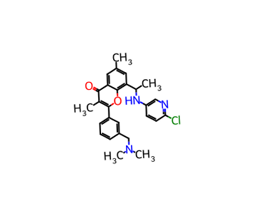 Cc1cc(C(C)Nc2ccc(Cl)nc2)c2oc(-c3cccc(CN(C)C)c3)c(C)c(=O)c2c1